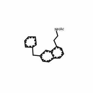 CC(=O)NCCc1cccc2ccc(Cc3ccccc3)cc12